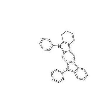 C1=Cc2c(n(-c3ccccc3)c3cc4c(cc23)c2ccccc2n4-c2ccccc2)CC1